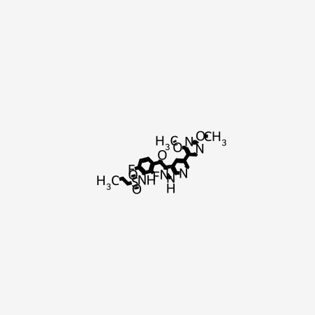 CCCS(=O)(=O)Nc1c(F)ccc(C(=O)c2n[nH]c3ncc(-c4cnc(OC)nc4OC)cc23)c1F